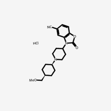 COC[C@H]1CC[C@@H](N2CCC(n3c(=O)oc4ccc(C#N)cc43)CC2)CC1.Cl